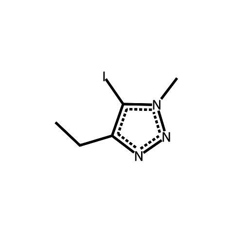 CCc1nnn(C)c1I